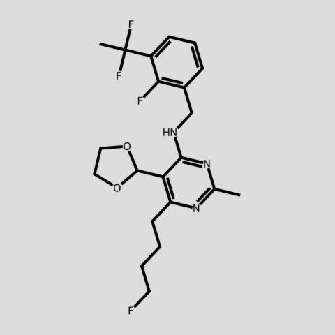 Cc1nc(CCCCF)c(C2OCCO2)c(NCc2cccc(C(C)(F)F)c2F)n1